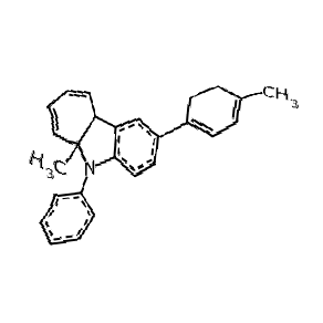 CC1=CC=C(c2ccc3c(c2)C2C=CC=CC2(C)N3c2ccccc2)CC1